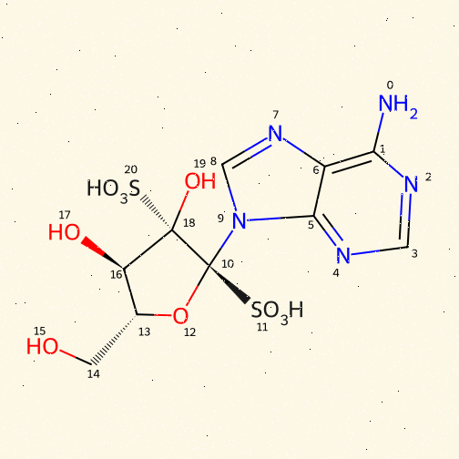 Nc1ncnc2c1ncn2[C@]1(S(=O)(=O)O)O[C@H](CO)[C@@H](O)[C@]1(O)S(=O)(=O)O